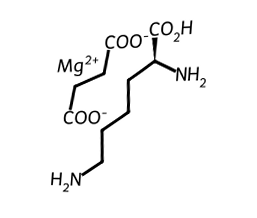 NCCCC[C@H](N)C(=O)O.O=C([O-])CCC(=O)[O-].[Mg+2]